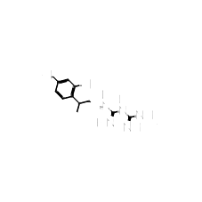 CC(CONC(=N)NC(=N)N)c1ccc(Cl)cc1Cl